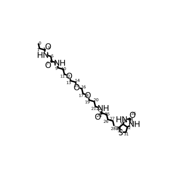 CCC(=O)NCC(=O)NCCCOCCOCCOCCCNC(=O)CCCC[C@H]1SCC2NC(=O)NC21